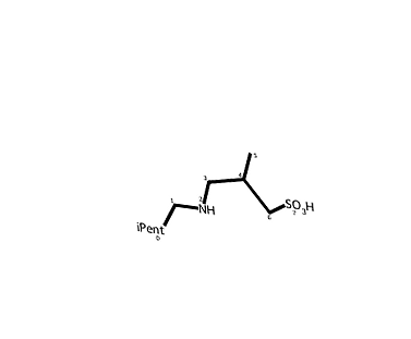 CCCC(C)CNCC(C)CS(=O)(=O)O